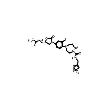 CC(=O)NC[C@H]1CN(c2ccc(N3CCNN(C(=O)NCc4c[nH]nn4)CC3)c(F)c2)C(=O)O1